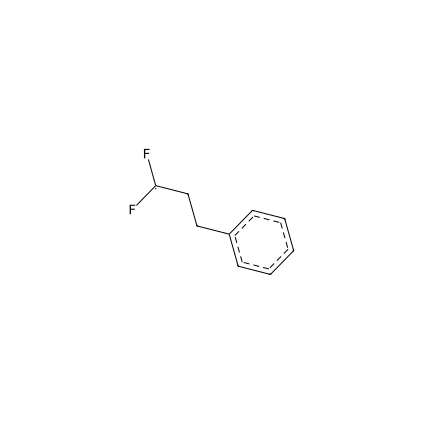 F[C](F)CCc1ccccc1